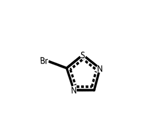 Brc1ncns1